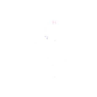 O=C1CC2CN(C(=O)O)CCC12